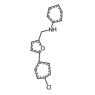 Clc1ccc(-c2ccc(CNc3ccccc3)o2)cc1